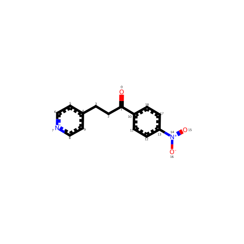 O=C(CCc1ccncc1)c1ccc([N+](=O)[O-])cc1